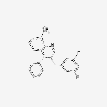 Fc1cc(F)cc(Cc2cnc3c(C(F)(F)F)cccc3c2-c2ccccc2)c1